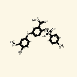 CCNc1cc(Oc2ccc(NS(=O)(=O)c3ccc(C)cc3)c(C(=O)OC)c2)ccc1N=O